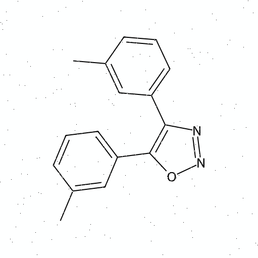 Cc1cccc(-c2nnoc2-c2cccc(C)c2)c1